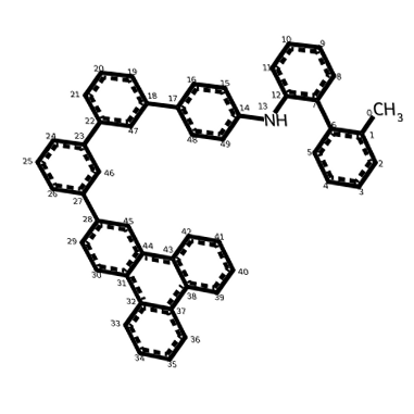 Cc1ccccc1-c1ccccc1Nc1ccc(-c2cccc(-c3cccc(-c4ccc5c6ccccc6c6ccccc6c5c4)c3)c2)cc1